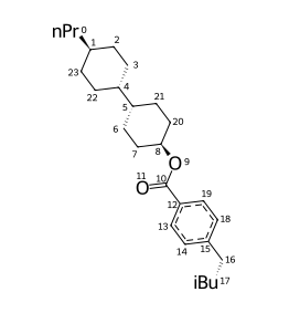 CCC[C@H]1CC[C@H]([C@H]2CC[C@H](OC(=O)c3ccc(C[C@@H](C)CC)cc3)CC2)CC1